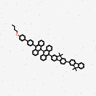 CCCCOc1ccc(-c2ccc(-c3c4ccccc4c(-c4c5ccccc5c(-c5ccc6c(c5)C(C)(C)c5cc(-c7ccc8c(c7)C(C)(C)c7ccccc7-8)ccc5-6)c5ccccc45)c4ccccc34)cc2)cc1